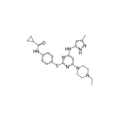 CCN1CCN(c2cc(Nc3cc(C)n[nH]3)nc(Sc3ccc(NC(=O)C4CC4)cc3)n2)CC1